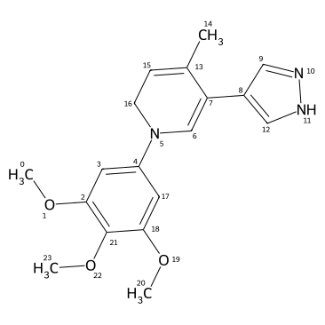 COc1cc(N2C=C(c3cn[nH]c3)C(C)=CC2)cc(OC)c1OC